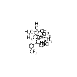 CC1=C(C)C(C)[C]([Zr]([CH]2C=C(c3cccc(C(F)(F)F)c3)c3ccccc32)=[Si](C)C)=C1C.Cl.Cl